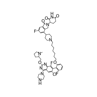 CN1CCCC1COc1nc(N2CCNCC2)c2cc(Cl)c(-c3c(F)cccc3OCCCCCCCN3CCC(c4cc(F)cc5c4CN(C4CCC(=O)NC4=O)C5=O)CC3)c(F)c2n1